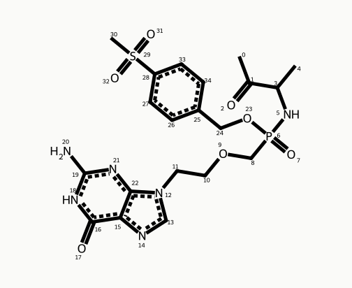 CC(=O)C(C)NP(=O)(COCCn1cnc2c(=O)[nH]c(N)nc21)OCc1ccc(S(C)(=O)=O)cc1